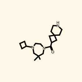 CC1(C)CN(C(=O)C2CC3(CCNCC3)C2)CCN(C2CCC2)C1